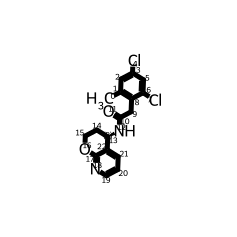 Cc1cc(Cl)cc(Cl)c1CC(=O)N[C@@H]1CCOc2ncccc21